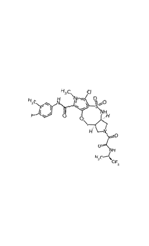 Cc1cc(NC(=O)c2c3c(c(Cl)n2C)S(=O)(=O)N[C@H]2CN(C(=O)C(=O)N[C@H](C)C(F)(F)F)C[C@H]2CO3)ccc1F